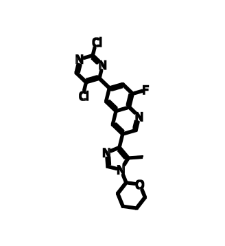 Cc1c(-c2cnc3c(F)cc(-c4nc(Cl)ncc4Cl)cc3c2)ncn1C1CCCCO1